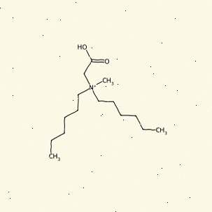 CCCCCC[N+](C)(CCCCCC)CC(=O)O